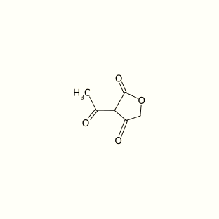 CC(=O)C1C(=O)COC1=O